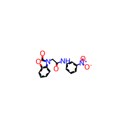 O=C(Cn1c(=O)oc2ccccc21)Nc1cccc([N+](=O)[O-])c1